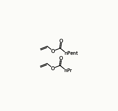 C=COC(=O)CCC.C=COC(=O)CCCCC